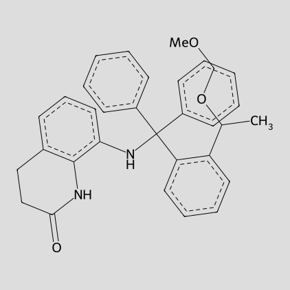 COCOC(C)c1ccccc1C(Nc1cccc2c1NC(=O)CC2)(c1ccccc1)c1ccccc1